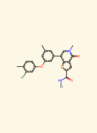 CCNC(=O)c1cc2c(=O)n(C)cc(-c3cc(C)cc(Oc4ccc(C)c(Cl)c4)c3)c2s1